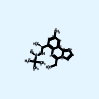 CCc1nc2c([C@@H](C)N[S@+]([O-])C(C)(C)C)cc(C)cc2c2nccn12